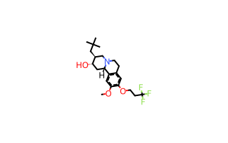 COc1cc2c(cc1OCCC(F)(F)F)CCN1C[C@H](CC(C)(C)C)[C@@H](O)C[C@@H]21